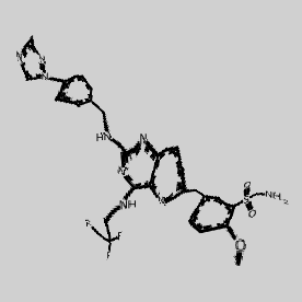 COc1ccc(-c2ccc3nc(NCc4ccc(-n5cncn5)cc4)nc(NCC(F)(F)F)c3n2)cc1S(N)(=O)=O